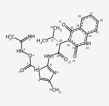 CC(=N)NOC(=O)[SH]1C=C(C)N=C1NC(=O)[C@H](C(C)C)n1c(=O)[nH]c2ccccc2c1=O